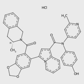 Cc1cc(N(C(=O)c2cc(-c3cc4c(cc3C(=O)N3Cc5ccccc5C[C@H]3C)OCO4)n3ccccc23)c2ccc(O)cc2)ccn1.Cl